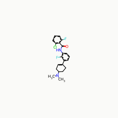 CN(C)C1CC=C(c2cccc(NC(=O)c3c(F)cccc3Cl)c2F)CC1